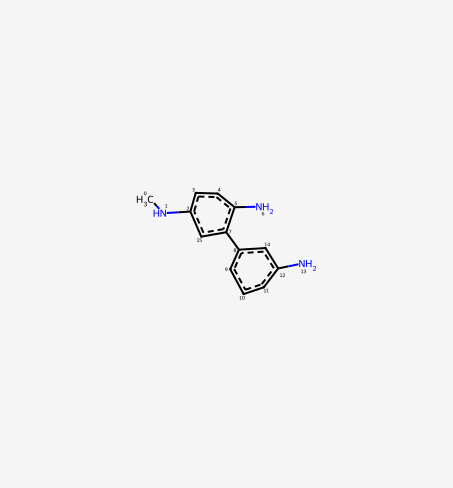 CNc1ccc(N)c(-c2cccc(N)c2)c1